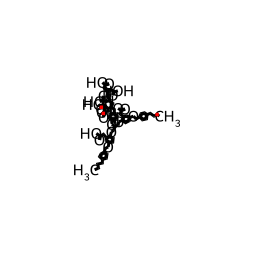 CCCCc1ccc(COc2ccc(OCC(COc3ccc(OCc4ccc(CCCC)cc4)cc3CC(=O)O)Oc3ccc(CC(CN(CCN(CC(=O)O)CC(=O)O)CC(=O)O)N(CC(=O)O)CC(=O)O)cc3)c(CC(=O)O)c2)cc1